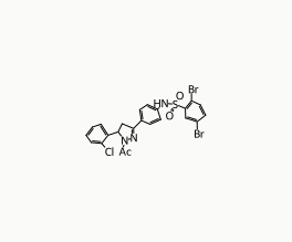 CC(=O)N1N=C(c2ccc(NS(=O)(=O)c3cc(Br)ccc3Br)cc2)CC1c1ccccc1Cl